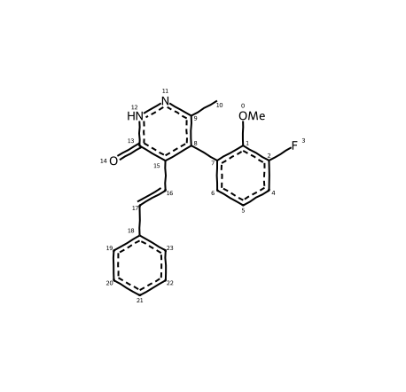 COc1c(F)cccc1-c1c(C)n[nH]c(=O)c1C=Cc1ccccc1